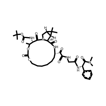 CC1OC(=O)CCCCCCC[C@@H](C(=O)C(=O)NCC(=O)N[C@H](C(=O)N(C)C)c2ccccc2)NC(=O)[C@@H]2[C@@H]3[C@H](CN2C(=O)[C@H]1NC(=O)OC(C)(C)C)C3(C)C